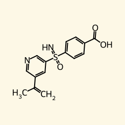 C=C(C)c1cncc(S(=N)(=O)c2ccc(C(=O)O)cc2)c1